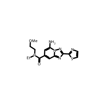 CCN(CCOC)C(=O)c1cc(N)n2nc(-c3nccs3)nc2c1